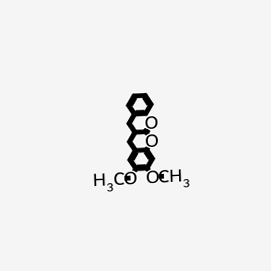 COc1cc2c(cc1OC)OC(=O)C(Cc1ccccc1)C2